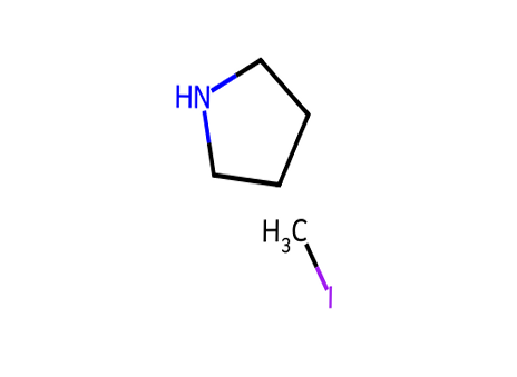 C1CCNC1.CI